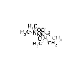 C=CCN(CC=C)CN1C(=O)N(CN(CC=C)CC=C)C(C)(CCCCCC)C1=O